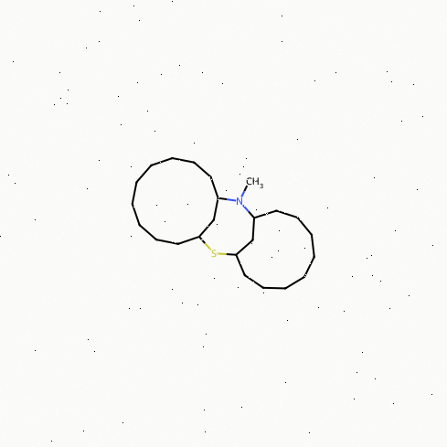 CN1C2CCCCCCCCCC(C2)SC2CCCCCCCCC1C2